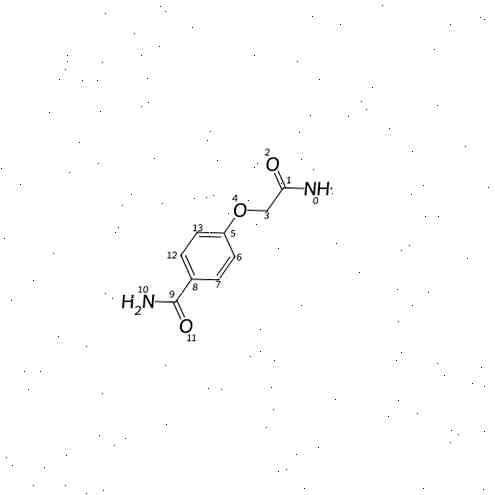 [NH]C(=O)COc1ccc(C(N)=O)cc1